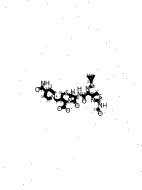 NC(=O)c1cc[n+](CC2=C(C(=O)[O-])N3C(=O)[C@@H](NC(=O)C(=NOC4CC4)c4csc(NC=O)n4)[C@@H]3SC2)cc1